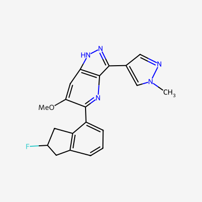 COc1cc2[nH]nc(-c3cnn(C)c3)c2nc1-c1cccc2c1CC(F)C2